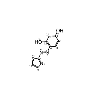 Oc1ccc(N=Nc2nccs2)c(O)c1